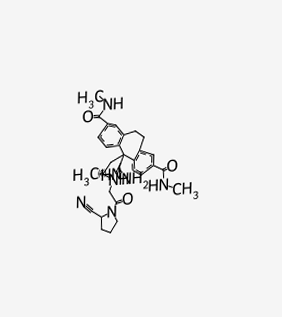 CNC(=O)c1ccc2c(c1)CCc1cc(C(=O)NC)ccc1C2(C[C@H](C)NCC(=O)N1CCCC1C#N)C(=N)N